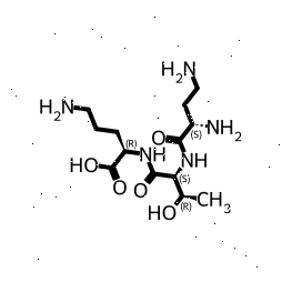 C[C@@H](O)[C@H](NC(=O)[C@@H](N)CCN)C(=O)N[C@H](CCCN)C(=O)O